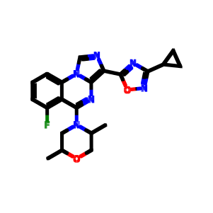 CC1CN(c2nc3c(-c4nc(C5CC5)no4)ncn3c3cccc(F)c23)C(C)CO1